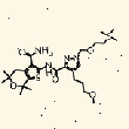 COCCCc1cn(COCCS(C)(C)C)nc1C(=O)Nc1sc2c(c1C(N)=O)CC(C)(C)OC2(C)C